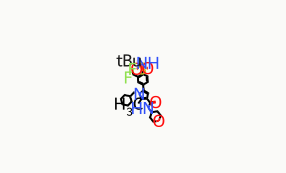 Cc1c(C(=O)NC2CCOCC2)cc(-c2ccc(S(=O)(=O)NC(C)(C)C)c(C(F)F)c2)n1CC1CCCCC1